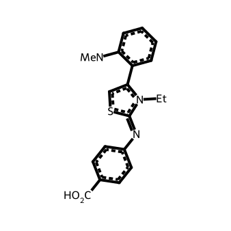 CCn1c(-c2ccccc2NC)csc1=Nc1ccc(C(=O)O)cc1